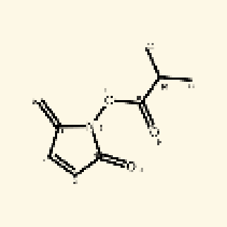 C=C1C=CC(=O)N1OC(=O)C(C)C